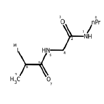 CCCNC(=O)CNC(=O)C(C)I